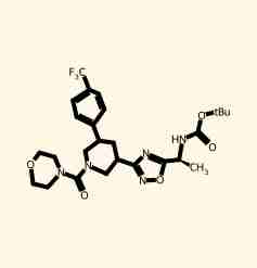 C[C@H](NC(=O)OC(C)(C)C)c1nc(C2CC(c3ccc(C(F)(F)F)cc3)CN(C(=O)N3CCOCC3)C2)no1